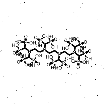 O=P(O)(O)C(N(CCN(CCN(C(P(=O)(O)O)P(=O)(O)O)C(P(=O)(O)O)P(=O)(O)O)C(P(=O)(O)O)P(=O)(O)O)CCN(C(P(=O)(O)O)P(=O)(O)O)C(P(=O)(O)O)P(=O)(O)O)P(=O)(O)O